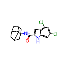 O=C(NC12CC3CC(CC(C3)C1)C2)c1cc2c(Cl)cc(Cl)cc2[nH]1